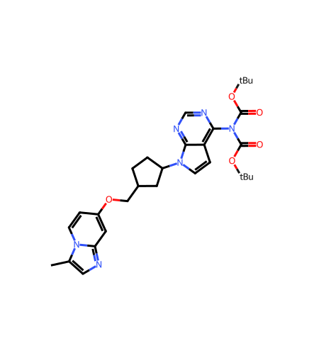 Cc1cnc2cc(OCC3CCC(n4ccc5c(N(C(=O)OC(C)(C)C)C(=O)OC(C)(C)C)ncnc54)C3)ccn12